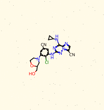 N#Cc1cc(Nc2nc(NC3CC3)c3ncc(C#N)n3n2)c(Cl)c(N2CCOC(CO)C2)c1